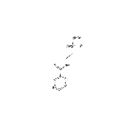 CC(=O)NS(=O)(=O)CCNC(=O)c1cccnc1